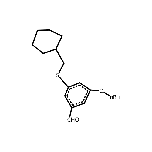 CCCCOc1cc(C=O)cc(SCC2CCCCC2)c1